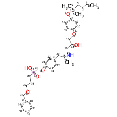 CCCC[Si](C)(C)Oc1ccc(OCC(O)CNC(C)Cc2ccc(OCP(=O)(O)CCCOCc3ccccc3)cc2)cc1